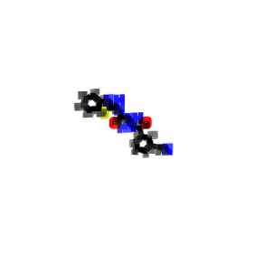 N#Cc1cccc(C(=O)NNC(=O)Nc2nc3ccccc3s2)c1